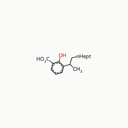 CCCCCCCCC(C)c1cccc(C(=O)O)c1O